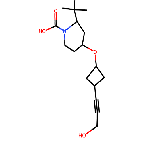 CC(C)(C)C1CC(OC2CC(C#CCO)C2)CCN1C(=O)O